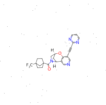 O=C(N1C[C@@H]2C[C@H]1c1cncc(C#Cc3ncccn3)c1O2)C12CCC(C(F)(F)F)(CC1)C2